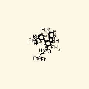 CCN(CC)CCNC(=O)c1cc(-c2cccc([SH](=O)(P)CC)c2)c2c([nH]c3ncc(C)cc32)c1C